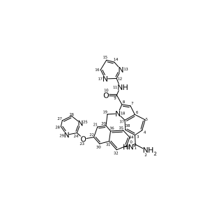 N=C(N)c1ccc2cc(C(=O)Nc3ncccn3)n(Cc3cc(Oc4ncccn4)cc4ccccc34)c2c1